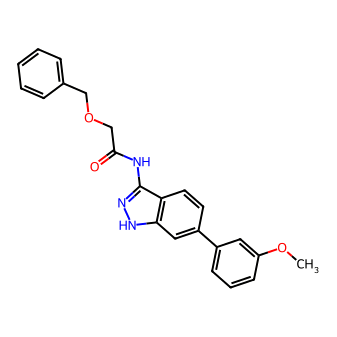 COc1cccc(-c2ccc3c(NC(=O)COCc4ccccc4)n[nH]c3c2)c1